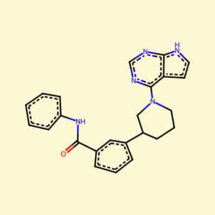 O=C(Nc1ccccc1)c1cccc(C2CCCN(c3ncnc4[nH]ccc34)C2)c1